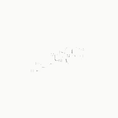 CO[C@@]1(NC(=O)CSCC(O)CO)C(=O)N2C(C(=O)O)=C(COC(C)=O)CS[C@H]21